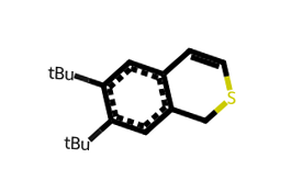 CC(C)(C)c1cc2c(cc1C(C)(C)C)CSC=C2